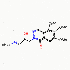 CCCCCCN=CC(O)Cn1ncc2c(OC)c(OC)c(OC)cc2c1=O